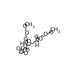 COCCOCCOC(=O)NCCCCC(NC(=O)OCCOCCOC)C(=O)ON1C(=O)CCC1=O